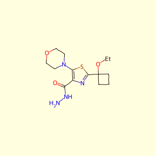 CCOC1(c2nc(C(=O)NN)c(N3CCOCC3)s2)CCC1